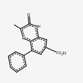 CCOC(=O)c1cc(-c2ccccc2)c2nc(C)c(=O)[nH]c2c1